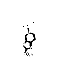 CN1CCC2=NC(C(=O)O)SC2C1